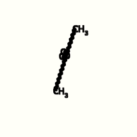 CCCCCCCCCCCCCCCC(=O)OC(=O)CCCCCCCCCCC